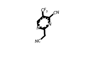 N#CCc1ncc(C(F)(F)F)c(C#N)n1